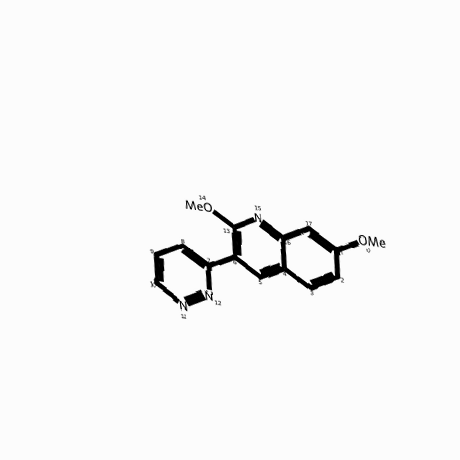 COc1ccc2cc(-c3cccnn3)c(OC)nc2c1